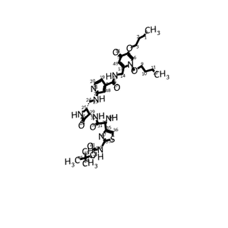 CCCCOc1cn(OCCCC)c(CNC(=O)c2ccnc(NC[C@H]3NC(=O)[C@H]3NC(=O)C(=N)c3csc(NC(=O)OC(C)(C)C)n3)c2)cc1=O